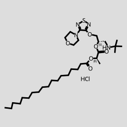 CCCCCCCCCCCCCCCCCC(=O)O[C@H](C)C(=O)O[C@@H](CNC(C)(C)C)COc1nsnc1N1CCOCC1.Cl